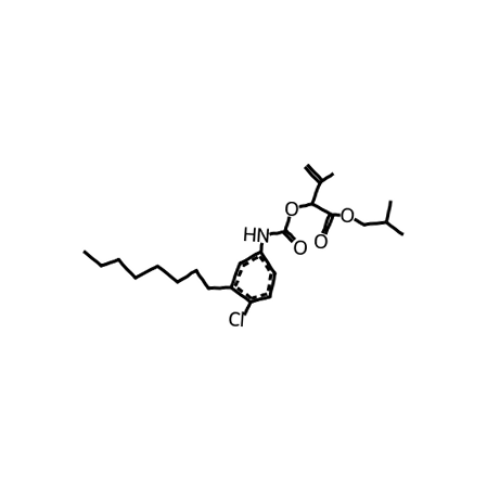 C=C(C)C(OC(=O)Nc1ccc(Cl)c(CCCCCCCC)c1)C(=O)OCC(C)C